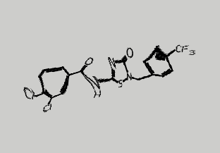 O=C(Nc1nc(=O)n(Cc2ccc(C(F)(F)F)cc2)s1)c1ccc(Cl)c(Cl)c1